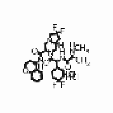 CN[C@@H](C)C(=O)N[C@H](C(=O)N1C[C@H]2CC(F)(F)CN2CC1C(=O)N[C@@H]1CCOc2ccccc21)C1CCC(F)(F)CC1.Cl.Cl